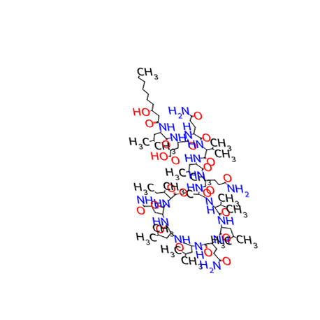 CCCCCCCC(O)CC(=O)NC(CC(C)C)C(=O)NC(CCC(=O)O)C(=O)NC(CCC(N)=O)C(=O)NC(C(=O)NC(CC(C)C)C(=O)NC(CCC(N)=O)C(=O)NC1COC(=O)C(C(C)CC)NC(=O)C(CCC(N)=O)NC(=O)C(CC(C)C)NC(=O)C(CC(C)C)NC(=O)C(CCC(N)=O)NC(=O)C(CC(C)C)NC(=O)C(C(C)C)NC1=O)C(C)C